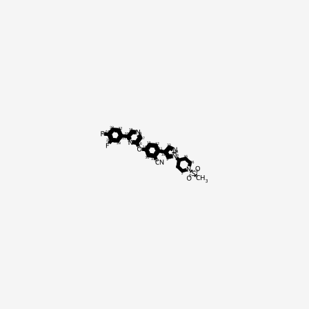 CS(=O)(=O)N1CCC(n2cc(-c3ccc(Oc4cncc(-c5ccc(F)c(F)c5)n4)cc3C#N)cn2)CC1